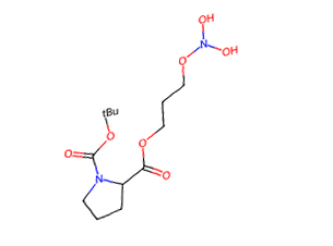 CC(C)(C)OC(=O)N1CCCC1C(=O)OCCCON(O)O